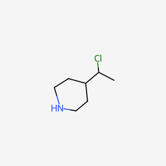 CC(Cl)C1CCNCC1